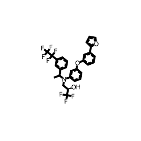 CC(c1cccc(C(F)(F)C(F)(F)F)c1)N(C[C@@H](O)C(F)(F)F)c1cccc(Oc2cccc(-c3ccco3)c2)c1